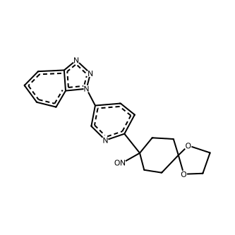 O=NC1(c2ccc(-n3nnc4ccccc43)cn2)CCC2(CC1)OCCO2